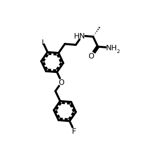 C[C@@H](NCCc1cc(OCc2ccc(F)cc2)ccc1I)C(N)=O